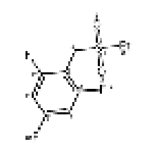 CCS(=O)(=O)Cc1c(F)cc(F)cc1F